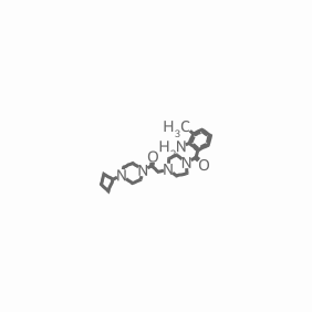 Cc1cccc(C(=O)N2CCN(CC(=O)N3CCN(C4CCC4)CC3)CC2)c1N